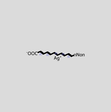 CCCCCCCCC/C=C/C=C/C=C/C=C/C=C/C(=O)[O-].[Ag+]